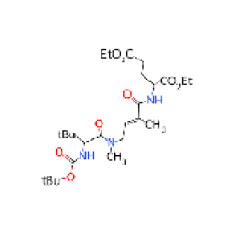 CCOC(=O)CC[C@@H](NC(=O)/C(C)=C/CN(C)C(=O)C(NC(=O)OC(C)(C)C)C(C)(C)C)C(=O)OCC